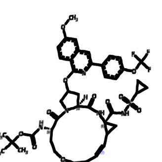 COc1ccc2c(OC3C[C@H]4C(=O)N[C@]5(C(=O)NS(=O)(=O)C6CC6)CC5/C=C\CCOCC[C@H](NC(=O)OC(C)(C)C)C(=O)N4C3)nc(-c3ccc(OC(F)(F)F)cc3)cc2c1